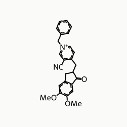 COc1cc2c(cc1OC)C(=O)C(Cc1cc[n+](Cc3ccccc3)cc1C#N)C2